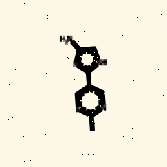 Cc1ncc(-c2nc(N)c[nH]2)cn1